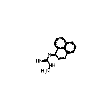 N=C(N=C1C=Cc2cccc3cccc1c23)NN